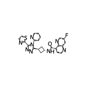 O=C(N[C@H]1C[C@H](c2nnc(-c3nccs3)n2-c2ccccn2)C1)c1ccnc2cc(F)cnc12